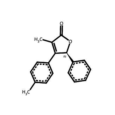 CC1=C(c2ccc(C)cc2)[C@H](c2ccccc2)OC1=O